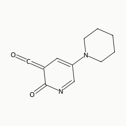 O=C=C1C=C(N2CCCCC2)C=NC1=O